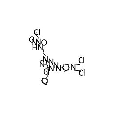 O=NN(CCCl)C(=O)NCCCn1cnc2c(OCc3ccccc3)nc(N=Nc3ccc(N(CCCl)CCCl)cc3)nc21